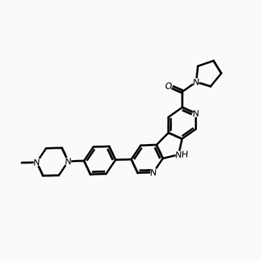 CN1CCN(c2ccc(-c3cnc4[nH]c5cnc(C(=O)N6CCCC6)cc5c4c3)cc2)CC1